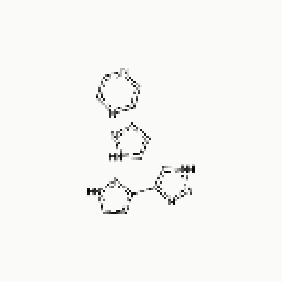 c1cc(-c2c[nH]nn2)n[nH]1.c1cn[nH]c1.c1cnccn1